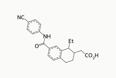 CCC1c2cc(C(=O)Nc3ccc(C#N)cc3)ccc2CCC1CC(=O)O